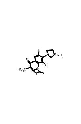 CC1Sc2c(C(=O)O)c(=O)c3cc(F)c(N4CC[C@H](N)C4)c(Cl)c3n21